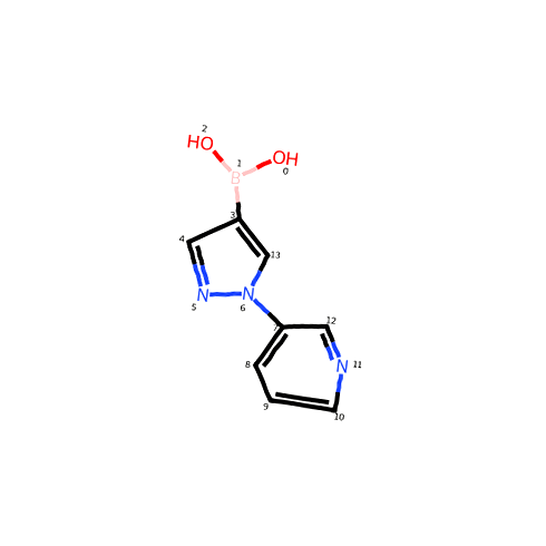 OB(O)c1cnn(-c2cccnc2)c1